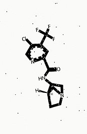 O=C(NC1CN2CC[C@H]1C2)c1cc(C(F)(F)F)c(Cl)cn1